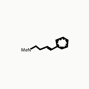 CNCCC=Cc1ccccc1